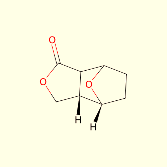 O=C1OC[C@@H]2C1C1CC[C@H]2O1